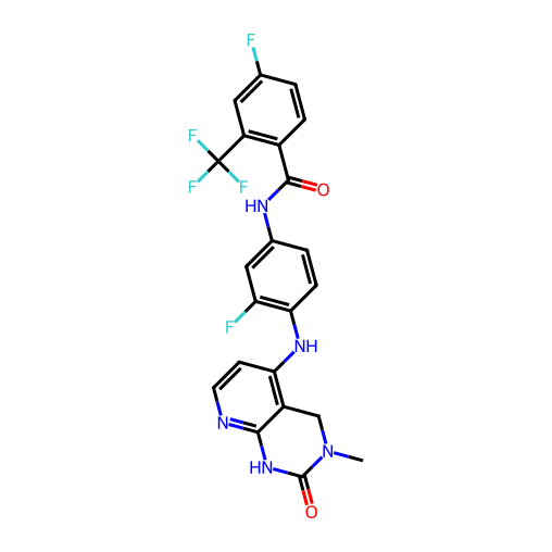 CN1Cc2c(Nc3ccc(NC(=O)c4ccc(F)cc4C(F)(F)F)cc3F)ccnc2NC1=O